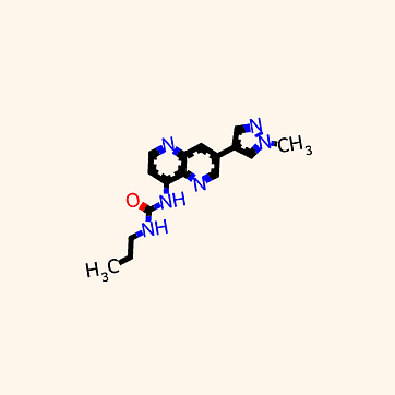 CCCNC(=O)Nc1ccnc2cc(-c3cnn(C)c3)cnc12